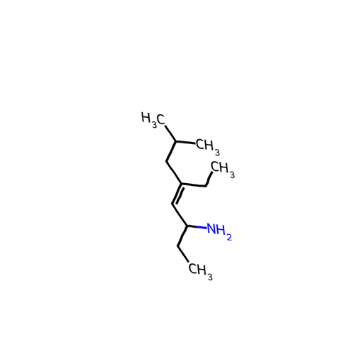 CC/C(=C\C(N)CC)CC(C)C